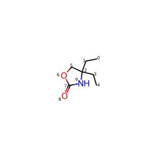 CCC1(CC)COC(=O)N1